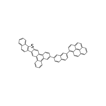 c1ccc2c(c1)ccc1c3cc4c5ccccc5c5cc(-c6ccc7ccc(-c8ccc9ccc%10cccc%11ccc8c9c%10%11)cc7c6)ccc5c4cc3sc21